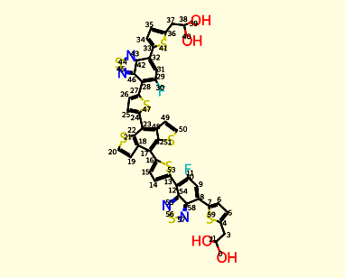 OC(O)Cc1ccc(-c2cc(F)c(-c3ccc(-c4c5ccsc5c(-c5ccc(-c6c(F)cc(-c7ccc(CC(O)O)s7)c7nsnc67)s5)c5ccsc45)s3)c3nsnc23)s1